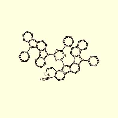 C#Cc1ccc2c3ccc4c(c5ccc6ccccc6c5n4-c4ccccc4)c3n(-c3nc(-c4ccccc4)nc(-n4c5ccccc5c5c4ccc4c6ccccc6n(-c6ccccc6)c45)n3)c2c1/C=C\C